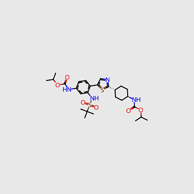 CC(C)OC(=O)Nc1ccc(-c2cnc([C@H]3CC[C@H](NC(=O)OC(C)C)CC3)s2)c(NS(=O)(=O)C(C)(C)C)c1